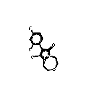 O=c1c(-c2ccc(F)cc2F)c(Cl)n2n1CCOCC2